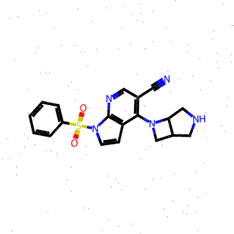 N#Cc1cnc2c(ccn2S(=O)(=O)c2ccccc2)c1N1CC2CNCC21